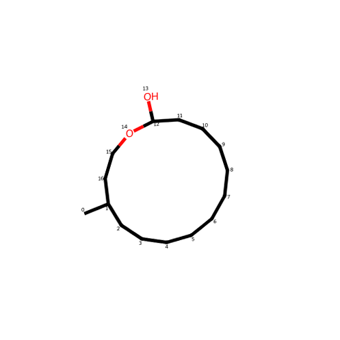 CC1CCCCCCCCCCC(O)OCC1